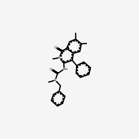 Cc1cc2c(-c3ccccc3)c(NC(=O)N(C)Cc3ccccc3)n(C)c(=O)c2cc1C